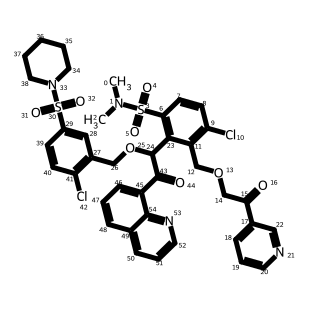 CN(C)S(=O)(=O)c1ccc(Cl)c(COCC(=O)c2cccnc2)c1C(OCc1cc(S(=O)(=O)N2CCCCC2)ccc1Cl)C(=O)c1cccc2cccnc12